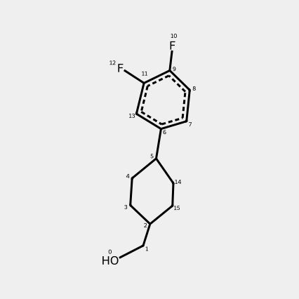 OCC1CCC(c2ccc(F)c(F)c2)CC1